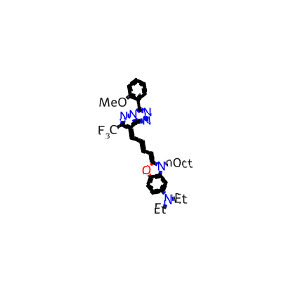 CCCCCCCCN1/C(=C/C=C/C=c2/c(C(F)(F)F)nn3c(-c4ccccc4OC)nnc23)Oc2ccc(N(CC)CC)cc21